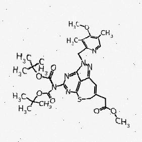 COC(=O)CC1=Cc2nn(Cc3ncc(C)c(OC)c3C)c3nc(N(C(=O)OC(C)(C)C)C(=O)OC(C)(C)C)nc(c23)SC1